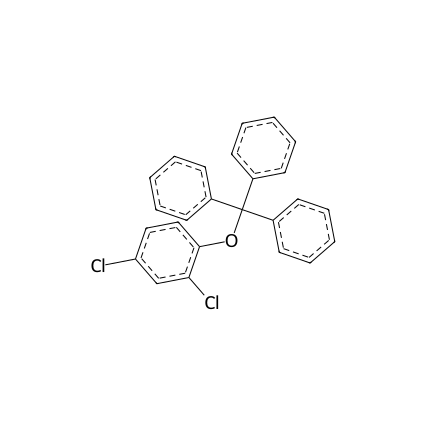 Clc1ccc(OC(c2ccccc2)(c2ccccc2)c2ccccc2)c(Cl)c1